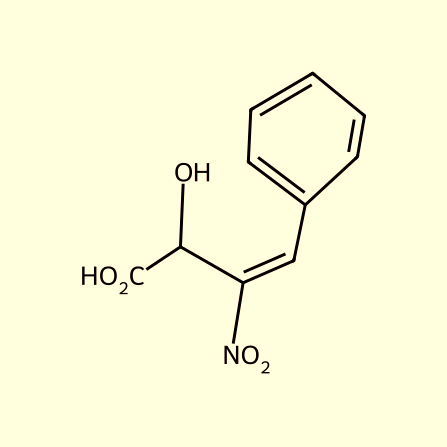 O=C(O)C(O)/C(=C\c1ccccc1)[N+](=O)[O-]